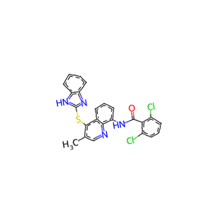 Cc1cnc2c(NC(=O)c3c(Cl)cccc3Cl)cccc2c1Sc1nc2ccccc2[nH]1